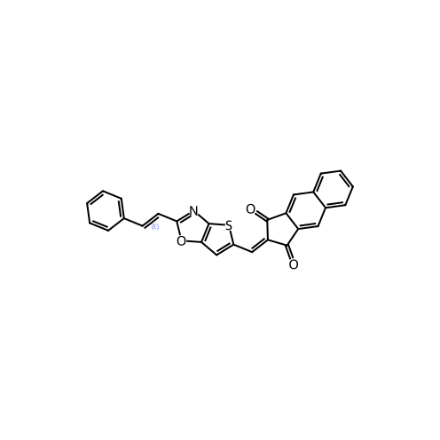 O=C1C(=Cc2cc3oc(/C=C/c4ccccc4)nc3s2)C(=O)c2cc3ccccc3cc21